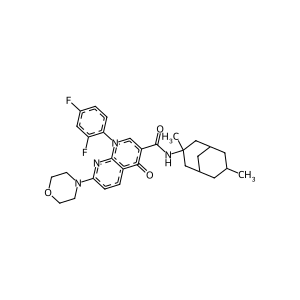 CC1CC2CC(C1)CC(C)(NC(=O)c1cn(-c3ccc(F)cc3F)c3nc(N4CCOCC4)ccc3c1=O)C2